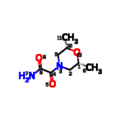 C[C@@H]1CN(C(=O)C(N)=O)C[C@H](C)O1